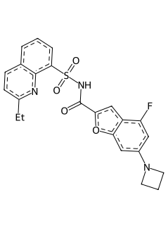 CCc1ccc2cccc(S(=O)(=O)NC(=O)c3cc4c(F)cc(N5CCC5)cc4o3)c2n1